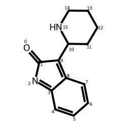 O=C1N=c2ccccc2=C1C1CCCCN1